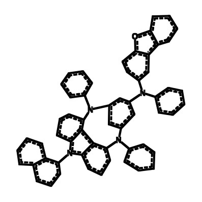 c1ccc(N(c2cc3cc(c2)N(c2ccccc2)c2cccc4c2c2c(cccc2n4-c2cccc4ccccc24)N3c2ccccc2)c2ccc3oc4ccccc4c3c2)cc1